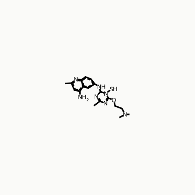 CC1=NC(Nc2ccc3nc(C)cc(N)c3c2)N(S)C(OCCN(C)C)=N1